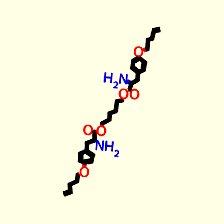 C=CCCCOc1ccc(CC(N)C(=O)OCCCCCCOC(=O)C(N)Cc2ccc(OCCCC=C)cc2)cc1